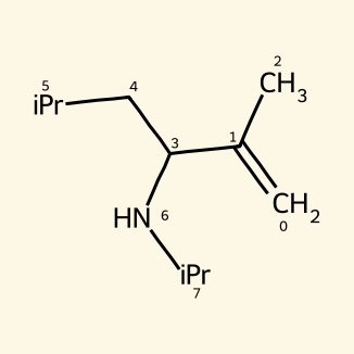 C=C(C)C(CC(C)C)NC(C)C